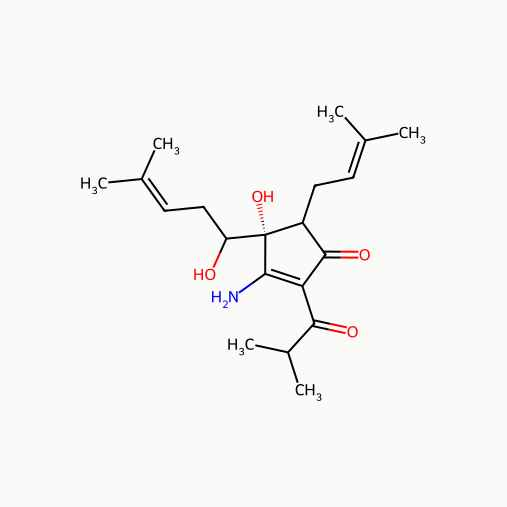 CC(C)=CCC(O)[C@]1(O)C(N)=C(C(=O)C(C)C)C(=O)C1CC=C(C)C